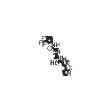 Cc1ccc(NC(=O)c2cnc(C(C)NC(O)c3cc(-c4cccnc4F)ncn3)s2)cc1C(F)(F)F